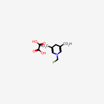 O=C(O)C(=O)O.O=C(O)C1=CN(CF)C=C(C(=O)O)C1